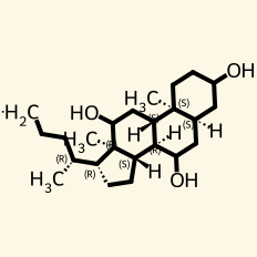 [CH2]CC[C@@H](C)[C@H]1CC[C@H]2[C@@H]3C(O)C[C@@H]4CC(O)CC[C@]4(C)[C@H]3CC(O)[C@]12C